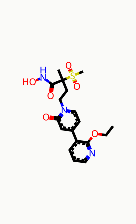 CCOc1ncccc1-c1ccn(CCC(C)(C(=O)NO)S(C)(=O)=O)c(=O)c1